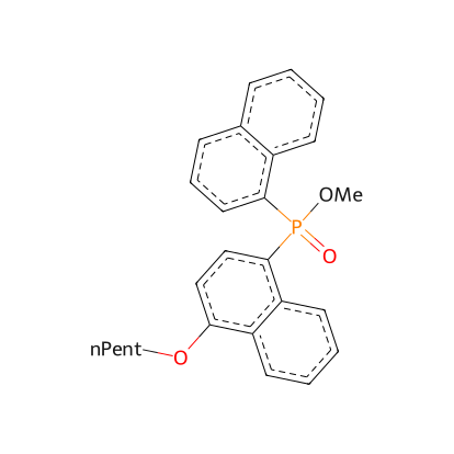 CCCCCOc1ccc(P(=O)(OC)c2cccc3ccccc23)c2ccccc12